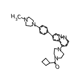 CN1CCN(c2ccc(-c3cc4c(N5CCN(C(=O)C6CCC6)CC5)ccnn4c3)cc2)CC1